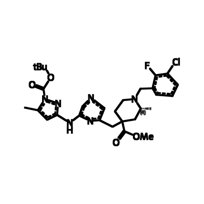 COC(=O)C1(Cc2cncc(Nc3cc(C)n(C(=O)OC(C)(C)C)n3)n2)CCN(Cc2cccc(Cl)c2F)[C@H](C)C1